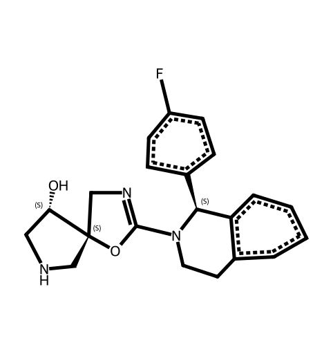 O[C@H]1CNC[C@]12CN=C(N1CCc3ccccc3[C@@H]1c1ccc(F)cc1)O2